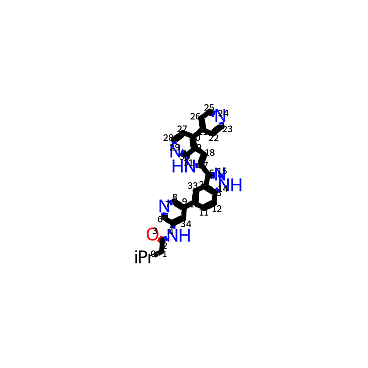 CC(C)CC(=O)Nc1cncc(-c2ccc3[nH]nc(-c4cc5c(-c6ccncc6)ccnc5[nH]4)c3c2)c1